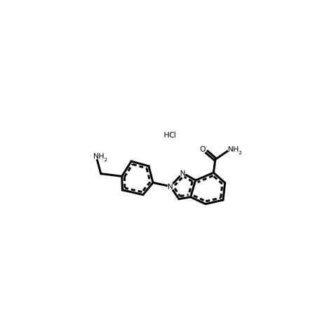 Cl.NCc1ccc(-n2cc3cccc(C(N)=O)c3n2)cc1